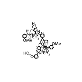 COc1cccc(NC(=O)CN(C)c2nc(-c3cc(OCC(Cc4sc5nc(-c6cc(OCCO)ccn6)nc(N(C)CC(=O)Nc6cccc(OC)c6)c5c4C)OC4CCCCO4)ccn3)nc3sc(C)c(C)c23)c1